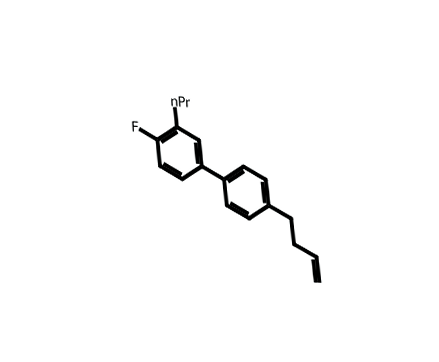 [CH2]CCc1cc(-c2ccc(CCC=C)cc2)ccc1F